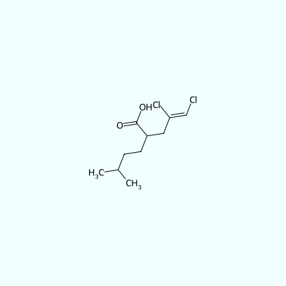 CC(C)CCC(CC(Cl)=CCl)C(=O)O